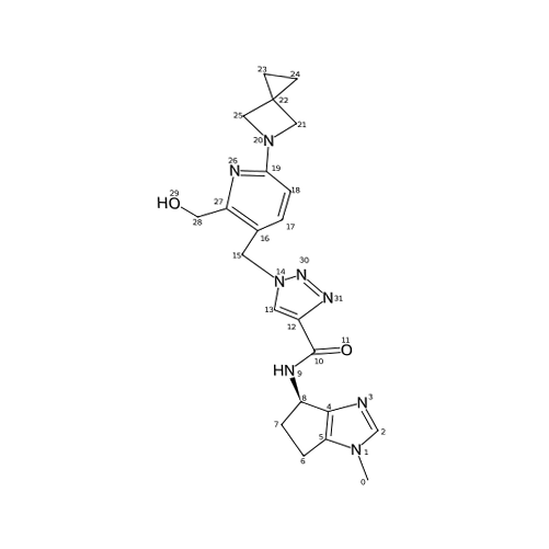 Cn1cnc2c1CC[C@H]2NC(=O)c1cn(Cc2ccc(N3CC4(CC4)C3)nc2CO)nn1